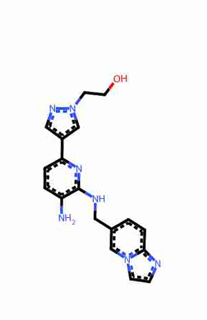 Nc1ccc(-c2cnn(CCO)c2)nc1NCc1ccc2nccn2c1